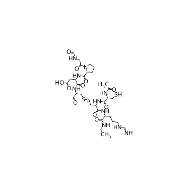 CCNC(=O)C(CCCNC=N)NC(=O)C(CSSCC(C=O)NC(=O)C(CC(=O)O)NC(=O)C1CCCN1C(=O)CNC=O)NC(=O)C(CS)NC(C)=O